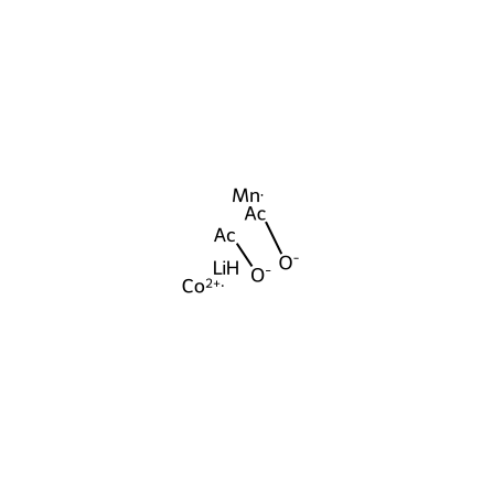 CC(=O)[O-].CC(=O)[O-].[Co+2].[LiH].[Mn]